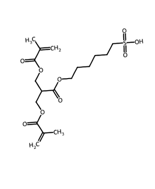 C=C(C)C(=O)OCC(COC(=O)C(=C)C)C(=O)OCCCCCCS(=O)(=O)O